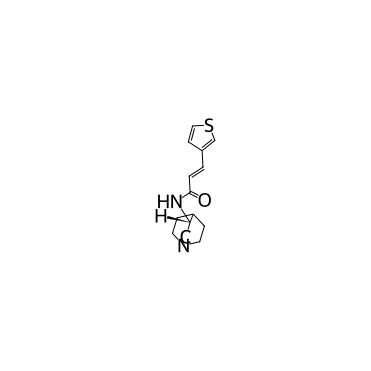 O=C(C=Cc1ccsc1)N[C@H]1CN2CCC1CC2